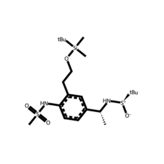 C[C@@H](N[S@+]([O-])C(C)(C)C)c1ccc(NS(C)(=O)=O)c(CCO[Si](C)(C)C(C)(C)C)c1